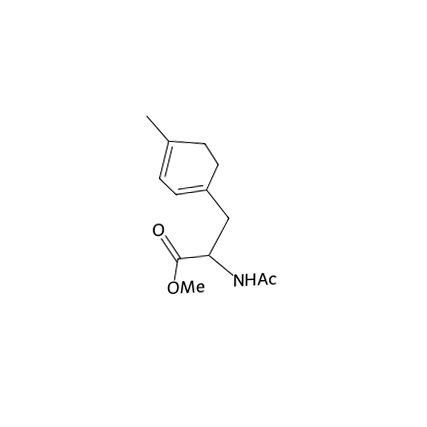 COC(=O)C(CC1=CC=C(C)CC1)NC(C)=O